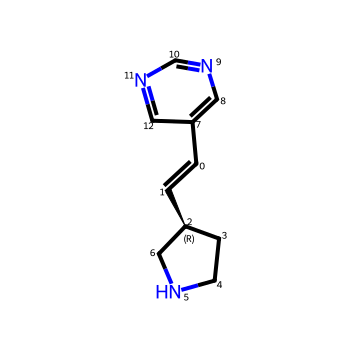 C(=C[C@H]1CCNC1)c1cncnc1